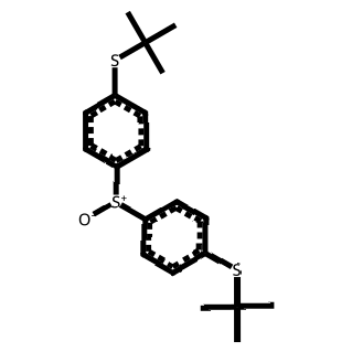 CC(C)(C)Sc1ccc([S+]([O-])c2ccc(SC(C)(C)C)cc2)cc1